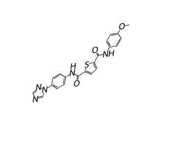 COc1ccc(NC(=O)c2ccc(C(=O)Nc3ccc(-n4cncn4)cc3)s2)cc1